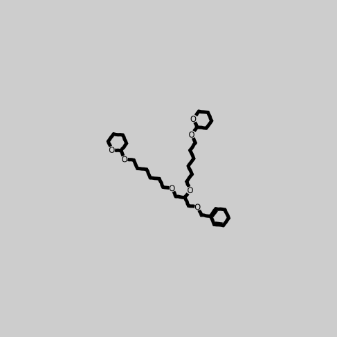 C1=CC(COCC(COCCCCCCOC2CCCCO2)OCCCCCCOC2CCCCO2)=CCC1